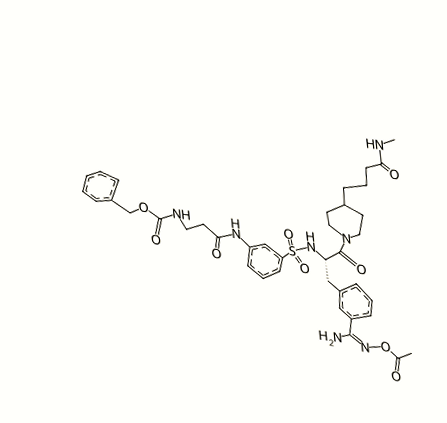 CNC(=O)CCCC1CCN(C(=O)[C@H](Cc2cccc(/C(N)=N\OC(C)=O)c2)NS(=O)(=O)c2cccc(NC(=O)CCNC(=O)OCc3ccccc3)c2)CC1